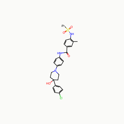 Cc1cc(C(=O)Nc2ccc(N3CCC(O)(c4ccc(Cl)cc4)CC3)cc2)ccc1NS(=O)(=O)C(C)C